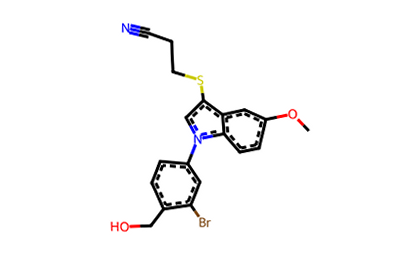 COc1ccc2c(c1)c(SCCC#N)cn2-c1ccc(CO)c(Br)c1